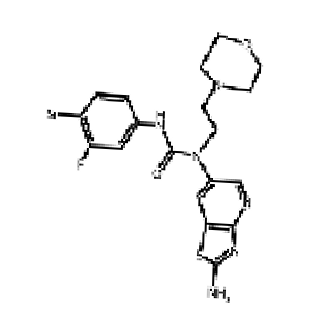 Nc1nc2ncc(N(CCN3CCOCC3)C(=O)Nc3ccc(Br)c(F)c3)cc2s1